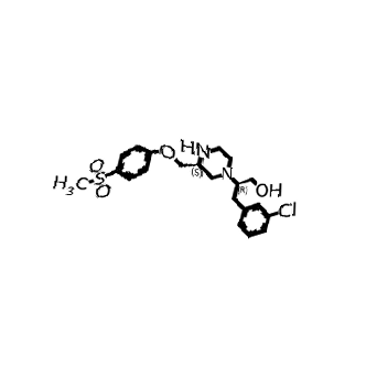 CS(=O)(=O)c1ccc(OC[C@@H]2CN([C@@H](CO)Cc3cccc(Cl)c3)CCN2)cc1